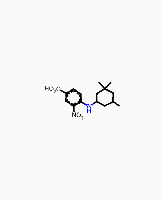 CC1CC(Nc2ccc(C(=O)O)cc2[N+](=O)[O-])CC(C)(C)C1